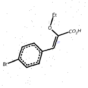 CCO/C(=C\c1ccc(Br)cc1)C(=O)O